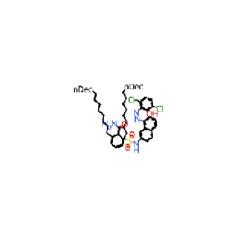 CCCCCCCCCCCCCCCCCCC1=CC=CC(CCCCCCCCCCCCCCCCCC)(S(=O)(=O)Nc2ccc3ccc(O)c(N=Nc4cc(Cl)ccc4Cl)c3c2)C1C(N)=O